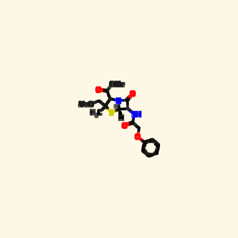 COCC1(C)S[C@H]2C(NC(=O)COc3ccccc3)C(=O)N2C1C(=O)OC